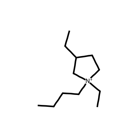 CCCC[N+]1(CC)CCC(CC)C1